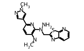 C=Nc1ccc(-c2cnn(C)c2)nc1N(N)Cc1nc2cccnc2s1